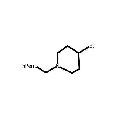 CCCCCCN1CCC(CC)CC1